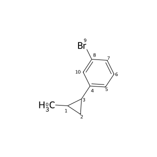 CC1CC1c1cccc(Br)c1